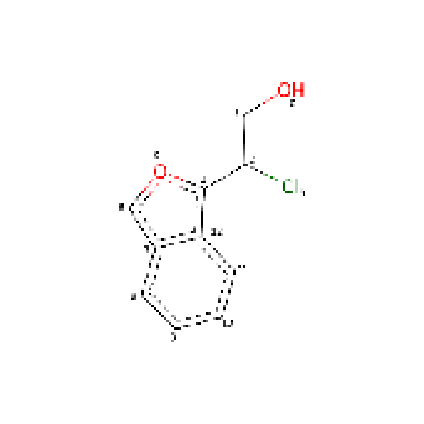 OCC(Cl)c1occ2ccccc12